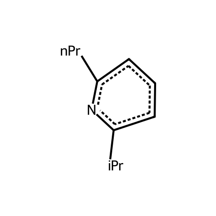 CCCc1cccc(C(C)C)n1